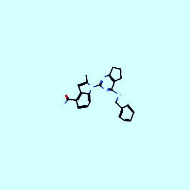 Cc1cc2c(C(N)=O)cccc2n1-c1nc2c(c(NCc3c[c]ccc3)n1)CCC2